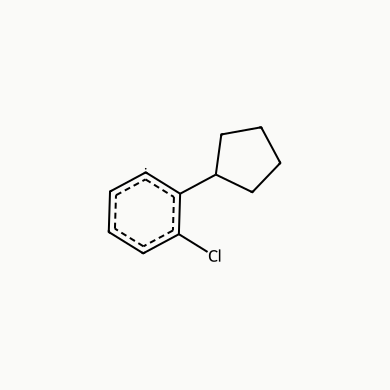 Clc1ccc[c]c1C1CCCC1